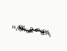 C=C(C)C(=O)OCCCOc1ccc(/C=C/C(=O)Sc2ccc(OCCCCCCOC(O)C(=C)C)cc2)cc1